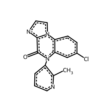 Cc1ncccc1-n1c(=O)c2nccn2c2ccc(Cl)cc21